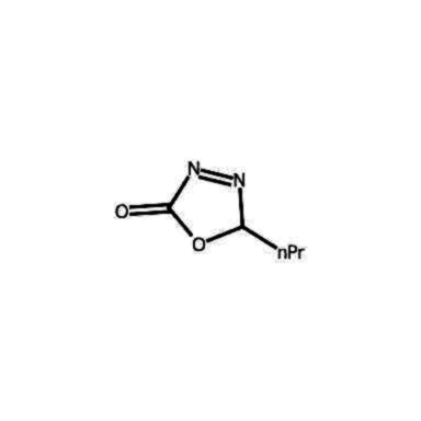 CCCC1N=NC(=O)O1